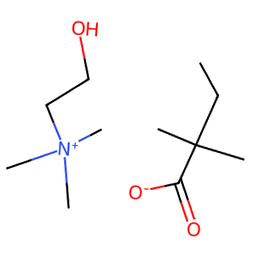 CCC(C)(C)C(=O)[O-].C[N+](C)(C)CCO